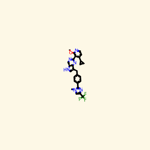 COc1nccc(C2CC2)c1-c1ncc2[nH]cc(Cc3ccc(-c4nc(C(F)(F)F)cn4C)cc3)c2n1